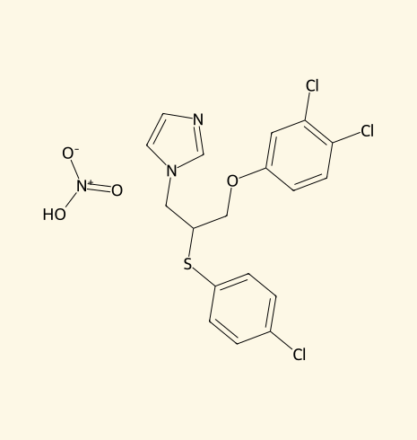 Clc1ccc(SC(COc2ccc(Cl)c(Cl)c2)Cn2ccnc2)cc1.O=[N+]([O-])O